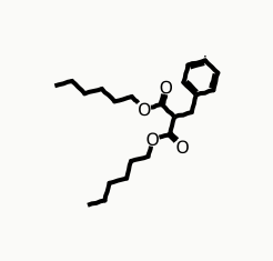 CCCCCCOC(=O)C(Cc1cc[c]cc1)C(=O)OCCCCCC